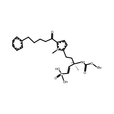 Cn1c(CC[C@](C)(C=CP(=O)(O)O)NC(=O)OC(C)(C)C)ccc1C(=O)CCCCc1ccccc1